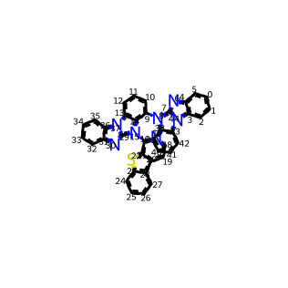 c1ccc2c(c1)nc1n(-c3cccc4c3n(-c3nccc5c3sc3ccccc35)c3nc5ccccc5n43)c3ccccc3n21